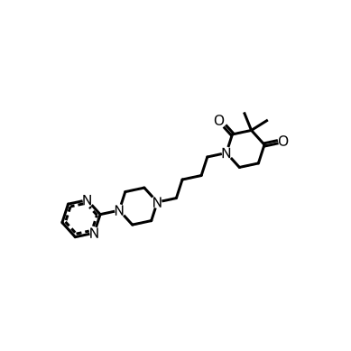 CC1(C)C(=O)CCN(CCCCN2CCN(c3ncccn3)CC2)C1=O